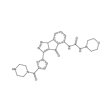 O=C(Nc1cccc2c1C(=O)C1=C(c3ccc(C(=O)N4CCNCC4)s3)N=NC12)NN1CCOCC1